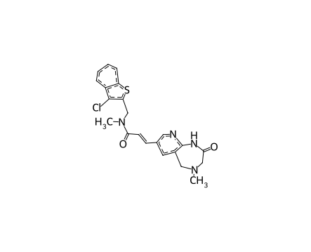 CN1CC(=O)Nc2ncc(/C=C/C(=O)N(C)Cc3sc4ccccc4c3Cl)cc2C1